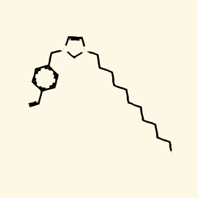 C=Cc1ccc(CN2C=CN(CCCCCCCCCCCC)C2)cc1